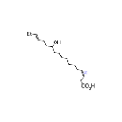 CCC=CCCC(O)CCCCCCC/C=C\CC(=O)O